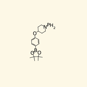 CC1(C)OB(c2ccc(OC3CCN(P)CC3)cc2)OC1(C)C